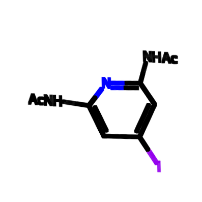 CC(=O)Nc1cc(I)cc(NC(C)=O)n1